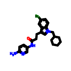 Nc1ccc(NC(=O)CCc2cn(CC3CCCCC3)c3ccc(Br)cc23)cn1